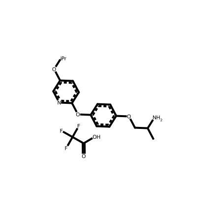 CC(N)COc1ccc(Oc2ccc(OC(C)C)cn2)cc1.O=C(O)C(F)(F)F